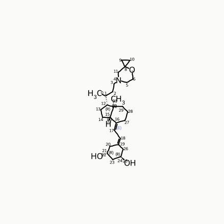 CC(CCN1CCOC2(CC2)C1)[C@H]1CC[C@H]2/C(=C/C=C3C[C@@H](O)C[C@H](O)C3)CCC[C@]12C